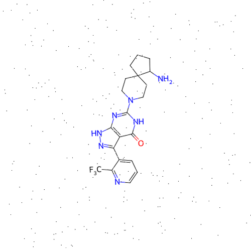 NC1CCCC12CCN(c1nc3[nH]nc(-c4cccnc4C(F)(F)F)c3c(=O)[nH]1)CC2